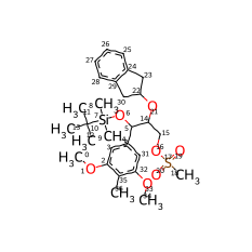 COc1cc(C(O[Si](C)(C)C(C)(C)C)C(COS(C)(=O)=O)OC2Cc3ccccc3C2)cc(OC)c1C